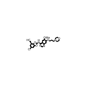 C#Cc1cc(Cl)cc2c1OC(Nc1ncnc3cc(OCCCN4CCOCC4)c(OC)cc13)O2